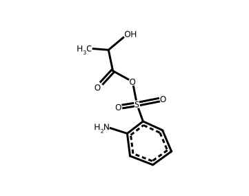 CC(O)C(=O)OS(=O)(=O)c1ccccc1N